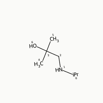 CC(C)NCC(C)(C)O